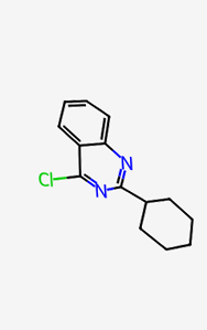 Clc1nc(C2CCCCC2)nc2ccccc12